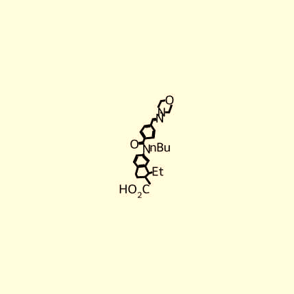 CCCCN(C(=O)c1ccc(C=NN2CCOCC2)cc1)c1ccc2c(c1)C(CC)C(CC(=O)O)CC2